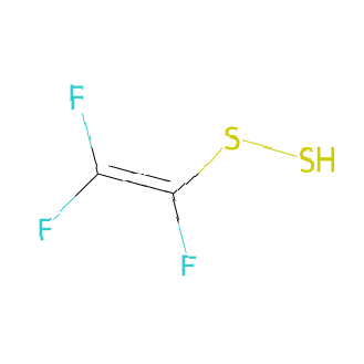 FC(F)=C(F)SS